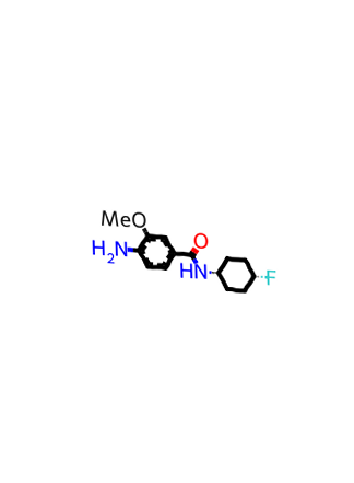 COc1cc(C(=O)N[C@H]2CC[C@@H](F)CC2)ccc1N